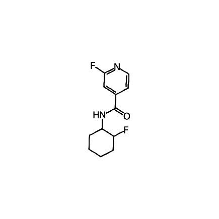 O=C(NC1CCCCC1F)c1ccnc(F)c1